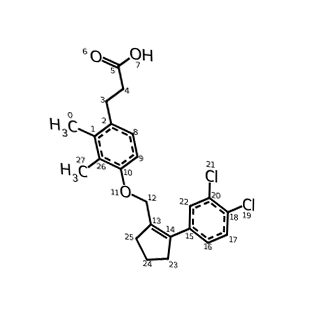 Cc1c(CCC(=O)O)ccc(OCC2=C(c3ccc(Cl)c(Cl)c3)CCC2)c1C